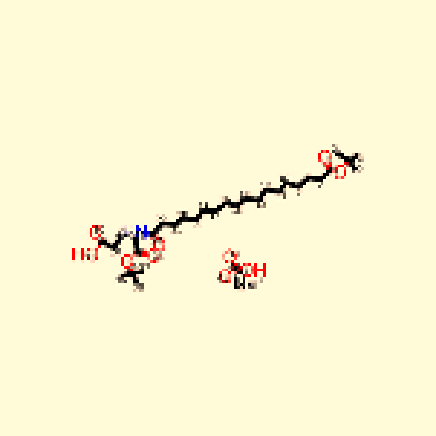 CC(C)(C)OC(=O)CCCCCCCCCCCCCCCCC(=O)N[C@@H](CCC(=O)O)C(=O)OC(C)(C)C.O=C([O-])O.[Na+]